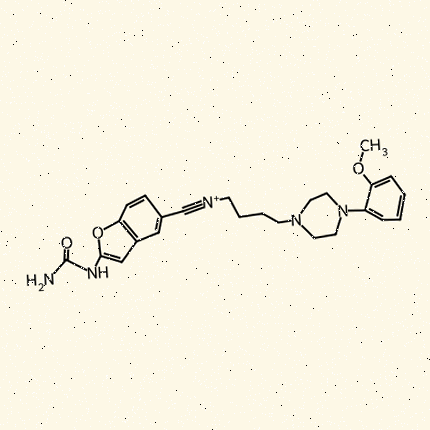 COc1ccccc1N1CCN(CCCC[N+]#Cc2ccc3oc(NC(N)=O)cc3c2)CC1